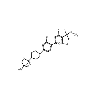 CCCC12COC(C3CCC(c4ccc(-c5cc(F)c(C(F)(F)OC(F)(F)F)c(F)c5)c(F)c4)CC3)(OC1)O2